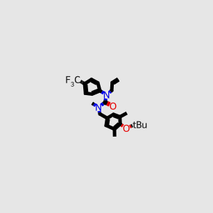 C=CCN(C(=O)N(C)Cc1cc(C)c(OC(C)(C)C)c(C)c1)c1ccc(C(F)(F)F)cc1